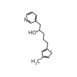 Cc1csc(CCCC(O)Cc2cccnc2)c1